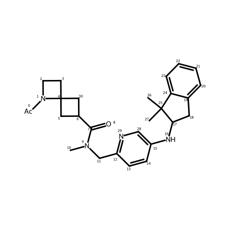 CC(=O)N1CCC12CC(C(=O)N(C)Cc1ccc(NC3Cc4ccccc4C3(C)C)cn1)C2